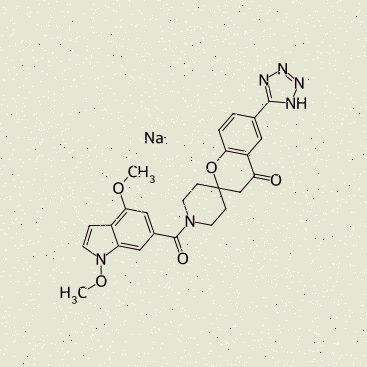 COc1cc(C(=O)N2CCC3(CC2)CC(=O)c2cc(-c4nnn[nH]4)ccc2O3)cc2c1ccn2OC.[Na]